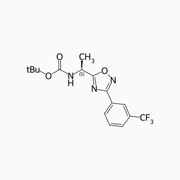 C[C@H](NC(=O)OC(C)(C)C)c1nc(-c2cccc(C(F)(F)F)c2)no1